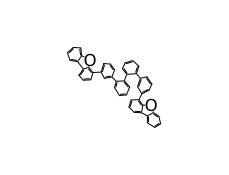 c1cc(-c2ccccc2-c2ccccc2-c2cccc(-c3cccc4c3oc3ccccc34)c2)cc(-c2cccc3c2oc2ccccc23)c1